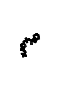 CC(C)(C)CC1CC2CC(CC(C)(C)CPC3CC4SCCCC34)SC21